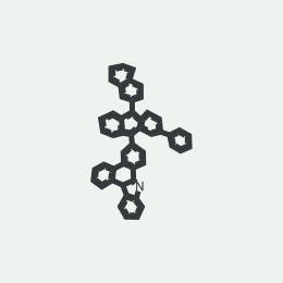 c1ccc(-c2ccc3c(-c4ccc5ccccc5c4)c4ccccc4c(-c4ccc5c(c4)-c4ccccc4C4C5=Nc5ccccc54)c3c2)cc1